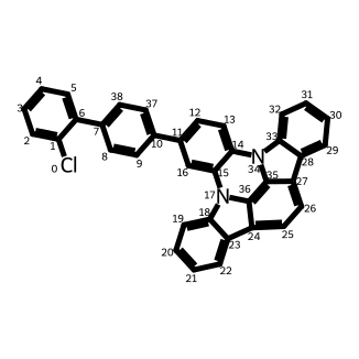 Clc1ccccc1-c1ccc(-c2ccc3c(c2)n2c4ccccc4c4ccc5c6ccccc6n3c5c42)cc1